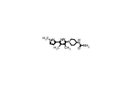 Cc1c(-c2ccn(C)n2)nnc(N2CCC(NC(N)=O)CC2)c1C